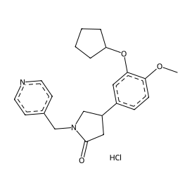 COc1ccc(C2CC(=O)N(Cc3ccncc3)C2)cc1OC1CCCC1.Cl